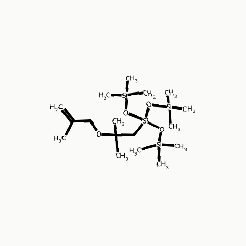 C=C(C)COC(C)(C)C[Si](O[Si](C)(C)C)(O[Si](C)(C)C)O[Si](C)(C)C